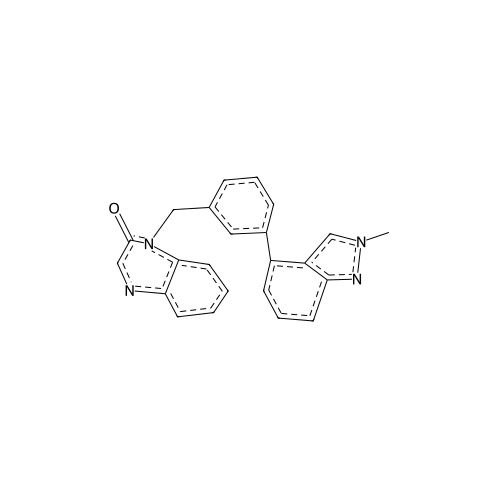 Cn1cc2c(-c3cccc(Cn4c(=O)cnc5ccccc54)c3)cccc2n1